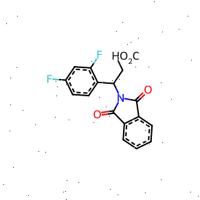 O=C(O)CC(c1ccc(F)cc1F)N1C(=O)c2ccccc2C1=O